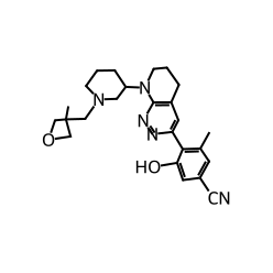 Cc1cc(C#N)cc(O)c1-c1cc2c(nn1)N(C1CCCN(CC3(C)COC3)C1)CCC2